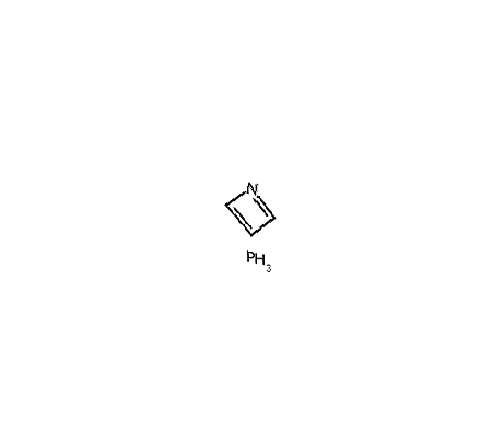 C1=CN=C1.P